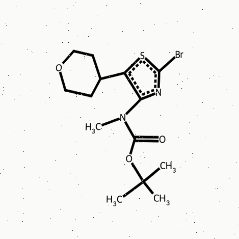 CN(C(=O)OC(C)(C)C)c1nc(Br)sc1C1CCOCC1